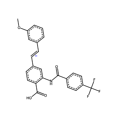 COc1cccc(/C=C/c2ccc(C(=O)O)c(NC(=O)c3ccc(C(F)(F)F)cc3)c2)c1